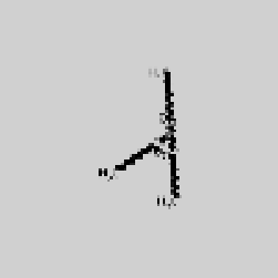 C=CCCCCCCCCC(=O)OCCN(CCOC(=O)CCCCCCCCC=C)CCOC(=O)CCCCCCCCC=C